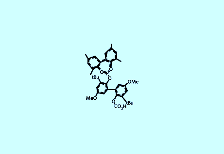 COc1cc(-c2cc(OC)cc(C(C)(C)C)c2Op2oc3c(C)cc(C)cc3c3cc(C)cc(C)c3o2)c(OC(=O)O)c(C(C)(C)C)c1